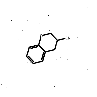 N#CC1COc2ccccc2C1